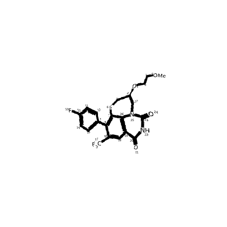 COCCO[C@@H]1CSc2c(-c3ccc(F)cc3)c(C(F)(F)F)cc3c(=O)[nH]c(=O)n(c23)C1